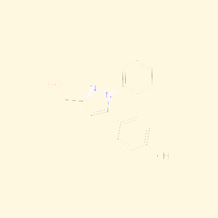 Cc1ccc(-c2cc(CO)nn2-c2ccc(F)cc2)cc1